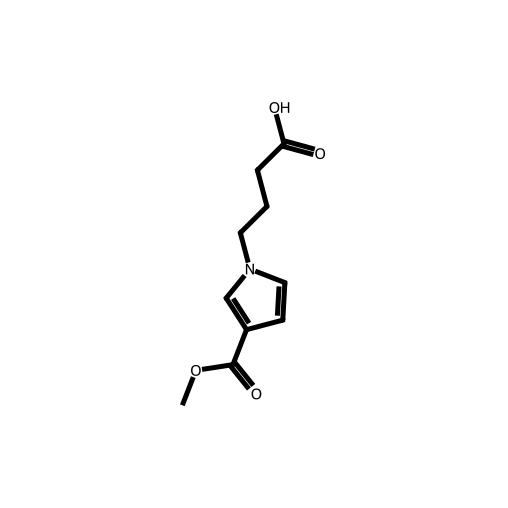 COC(=O)c1ccn(CCCC(=O)O)c1